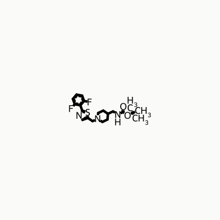 CC(C)(C)OC(=O)NCC1CCN(Cc2cnc(-c3c(F)cccc3F)s2)CC1